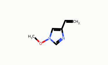 C=Cc1cn(OC)cn1